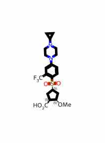 CO[C@H]1C[C@@H](S(=O)(=O)c2ccc(N3CCN(C4CC4)CC3)cc2C(F)(F)F)C[C@@H]1C(=O)O